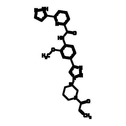 C=CC(=O)N1CCC[C@H](n2cc(-c3ccc(NC(=O)c4cccc(-c5ccn[nH]5)n4)c(OC)c3)nn2)C1